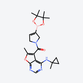 Cc1oc2ncnc(NC3(C)CC3)c2c1C(=O)N1CC=C(B2OC(C)(C)C(C)(C)O2)C1